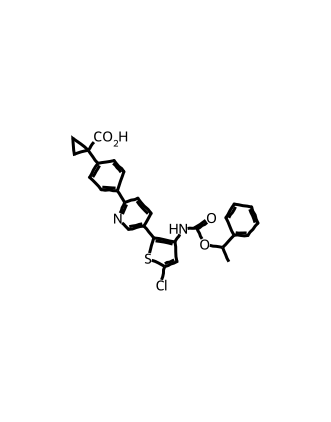 CC(OC(=O)Nc1cc(Cl)sc1-c1ccc(-c2ccc(C3(C(=O)O)CC3)cc2)nc1)c1ccccc1